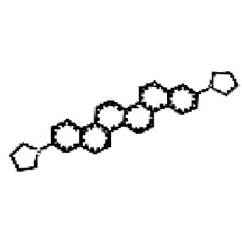 c1cc2c(ccc3c2ccc2c4ccc5cc(N6CCCC6)ccc5c4ccc32)cc1N1CCCC1